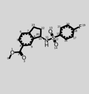 COC(=O)c1ccc2c(c1)[C@H](NS(=O)(=O)c1ccc(F)cc1)CC2